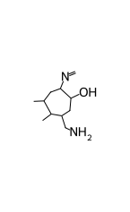 C=NC1CC(C)C(C)C(CN)CC1O